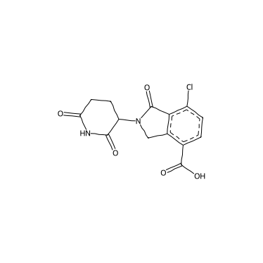 O=C1CCC(N2Cc3c(C(=O)O)ccc(Cl)c3C2=O)C(=O)N1